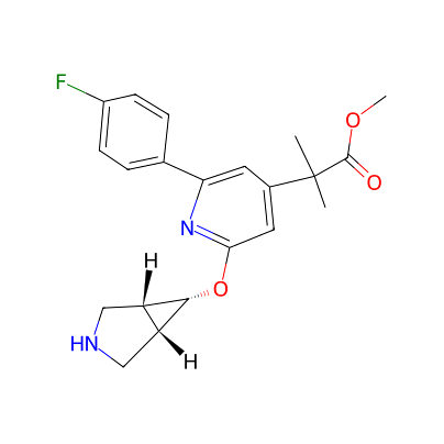 COC(=O)C(C)(C)c1cc(O[C@@H]2[C@@H]3CNC[C@@H]32)nc(-c2ccc(F)cc2)c1